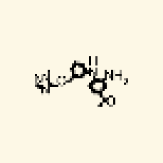 CC(=O)c1ccc(Nc2cccc(COCc3ncnn3C)c2)c(N)c1